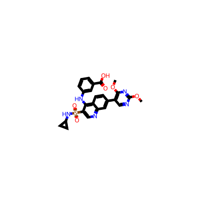 COc1ncc(-c2ccc3c(Nc4cccc(C(=O)O)c4)c(S(=O)(=O)NC4CC4)cnc3c2)c(OC)n1